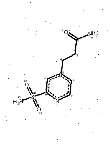 NC(=O)C[CH]c1ccnc(S(N)(=O)=O)c1